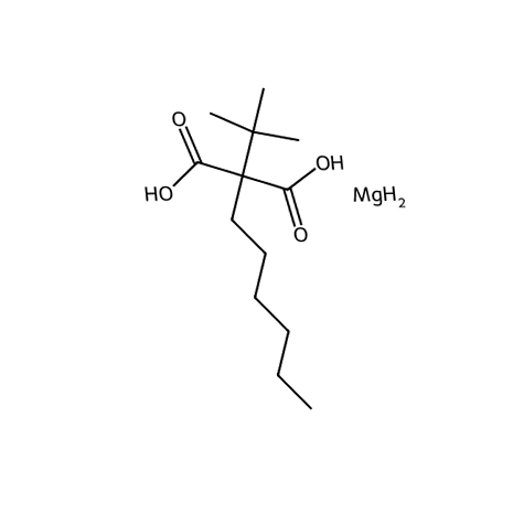 CCCCCCC(C(=O)O)(C(=O)O)C(C)(C)C.[MgH2]